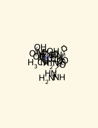 CC(C)(C)OC(=O)N[C@@H](Cc1ccccc1)C(=O)OC(=O)[C@@H](N)CCCNC(=N)N.CNC(=O)/C=C\c1ccccc1O.N[C@@H](CO)C(=O)O